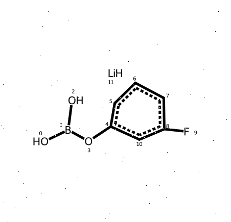 OB(O)Oc1cccc(F)c1.[LiH]